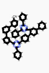 N#Cc1cccc(-c2cccc(-c3cccc(-c4nc(-c5ccccc5)nc(-c5ccc(-c6ccc(-c7ccccc7)cc6-c6nc(-c7ccccc7)nc(-c7ccccc7)n6)cc5)n4)c3)c2)c1